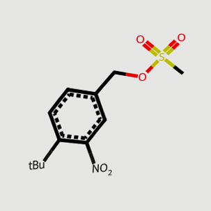 CC(C)(C)c1ccc(COS(C)(=O)=O)cc1[N+](=O)[O-]